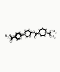 CC(C)N1CCCN(C(=O)OC2CCN(c3ccc(C(N)=O)cn3)CC2)CC1